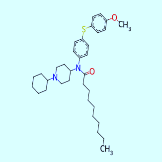 CCCCCCCCCC(=O)N(c1ccc(Sc2ccc(OC)cc2)cc1)C1CCN(C2CCCCC2)CC1